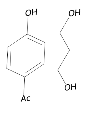 CC(=O)c1ccc(O)cc1.OCCCO